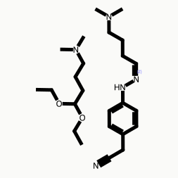 CCOC(CCCN(C)C)OCC.CN(C)CCC/C=N\Nc1ccc(CC#N)cc1